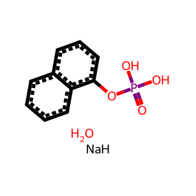 O.O=P(O)(O)Oc1cccc2ccccc12.[NaH]